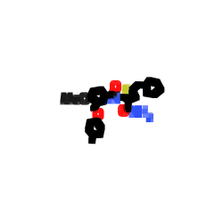 COc1ccc(C(=O)Nc2sc(Cc3ccccc3)cc2C(N)=O)cc1COc1ccc(C)cc1